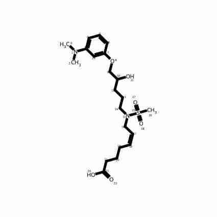 CN(C)c1cccc(OCC(O)CCCN(C/C=C\CCCC(=O)O)S(C)(=O)=O)c1